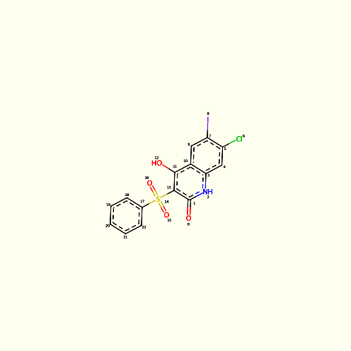 O=c1[nH]c2cc(Cl)c(I)cc2c(O)c1S(=O)(=O)c1ccccc1